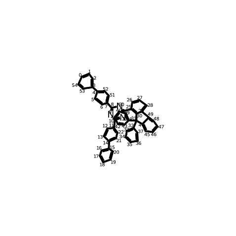 c1ccc(-c2ccc(-c3nc(-c4ccc(-c5ccccc5)cc4)nc(-c4cccc5c4C(c4ccccc4)(c4ccccc4)c4ccccc4-5)n3)cc2)cc1